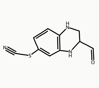 N#CSc1ccc2c(c1)NC(C=O)CN2